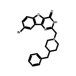 O=c1[nH]c(CN2CCC(Cc3ccccc3)CC2)nc2c1oc1ccc(Br)cc12